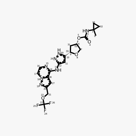 CC1(NC(=O)O[C@@H]2CO[C@H](c3cc(Nc4nccn5nc(COC(F)(F)F)cc45)n[nH]3)C2)CC1